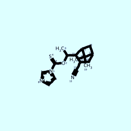 CC(OC(=S)n1ccnc1)C1C(C#N)CC2CC1C2(C)C